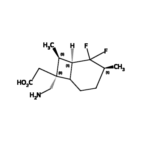 C[C@H]1CCC2[C@@H]([C@H](C)[C@]2(CN)CC(=O)O)C1(F)F